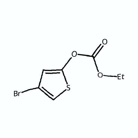 CCOC(=O)Oc1cc(Br)cs1